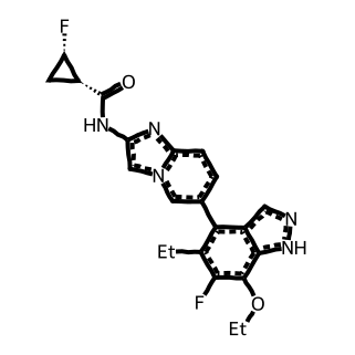 CCOc1c(F)c(CC)c(-c2ccc3nc(NC(=O)[C@@H]4C[C@@H]4F)cn3c2)c2cn[nH]c12